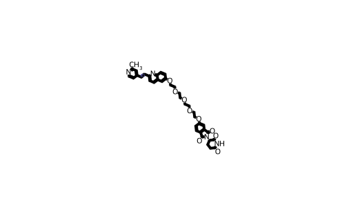 Cc1cc(/C=C/c2ccc3cc(OCCOCCOCCOCCOc4ccc5c(c4)C(=O)N(C4CCC(=O)NC4=O)C5=O)ccc3n2)ccn1